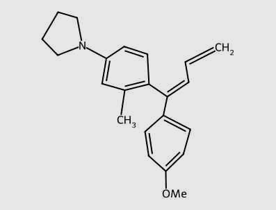 C=CC=C(c1ccc(OC)cc1)c1ccc(N2CCCC2)cc1C